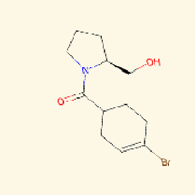 O=C(C1CC=C(Br)CC1)N1CCC[C@H]1CO